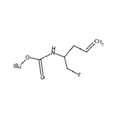 C=CCC(CF)NC(=O)OC(C)(C)C